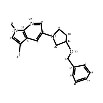 Cn1cc(I)c2cc(N3CCC(OCc4ccccc4)C3)cnc21